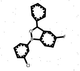 Fc1ccc2c(c1)C(c1ccccc1)OB2c1cccc(Cl)c1